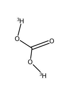 [3H]OC(=O)O[3H]